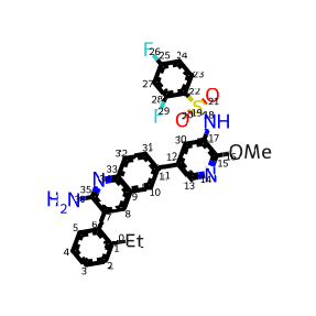 CCc1ccccc1-c1cc2cc(-c3cnc(OC)c(NS(=O)(=O)c4ccc(F)cc4F)c3)ccc2nc1N